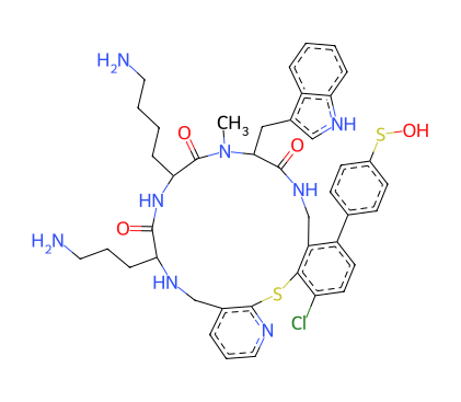 CN1C(=O)C(CCCCN)NC(=O)C(CCCN)NCc2cccnc2Sc2c(Cl)ccc(-c3ccc(SO)cc3)c2CNC(=O)C1Cc1c[nH]c2ccccc12